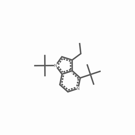 CCc1cn(C(C)(C)C)c2ccnc(C(C)(C)C)c12